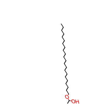 CCCCCCCCCCCCCCCCCCCCCCOC(C)O